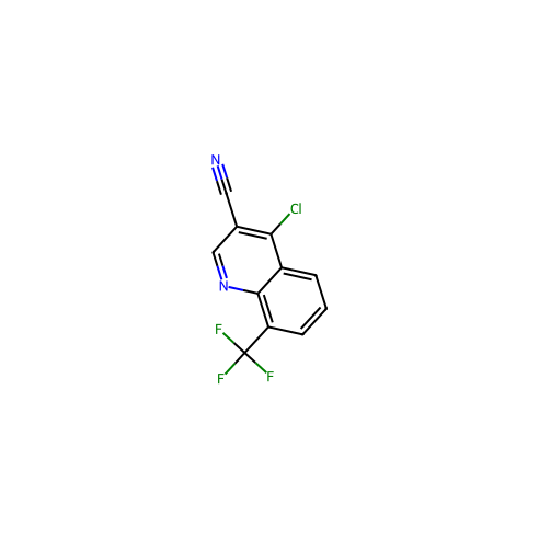 N#Cc1cnc2c(C(F)(F)F)cccc2c1Cl